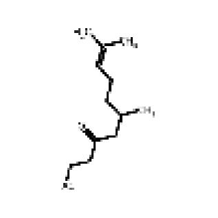 CC(=O)CCC(=O)CC(C)CCC=C(C)C